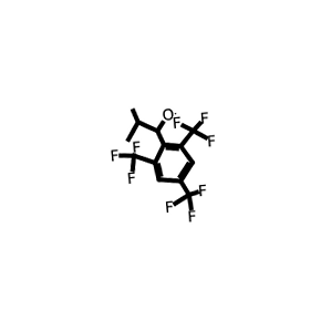 CC(C)C([O])c1c(C(F)(F)F)cc(C(F)(F)F)cc1C(F)(F)F